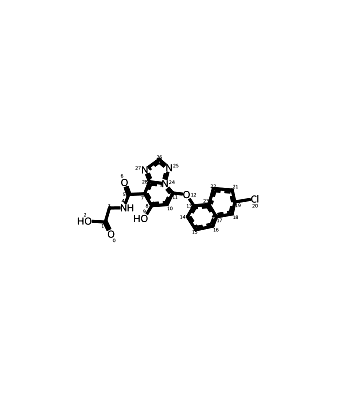 O=C(O)CNC(=O)c1c(O)cc(Oc2cccc3cc(Cl)ccc23)n2ncnc12